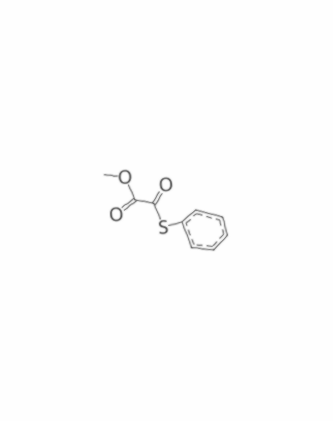 COC(=O)C(=O)Sc1ccccc1